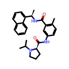 Cc1ccc(NC(=O)[C@H]2CCCN2C(C)C)cc1C(=O)N[C@H](C)c1cccc2ccccc12